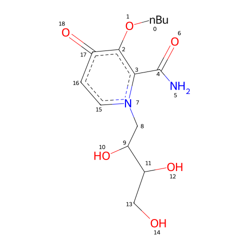 CCCCOc1c(C(N)=O)n(CC(O)C(O)CO)ccc1=O